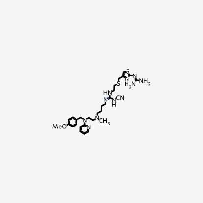 COc1ccc(CN(CCN(C)CCCC/N=C(\NC#N)NCCSCc2csc(N=C(N)N)n2)c2ccccn2)cc1